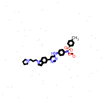 Cc1ccc(S(=O)(=O)N(OC=O)c2ccc(Nc3cc(-c4ccc5c(ccn5CCCN5CCCC5)c4)ncn3)cc2)cc1